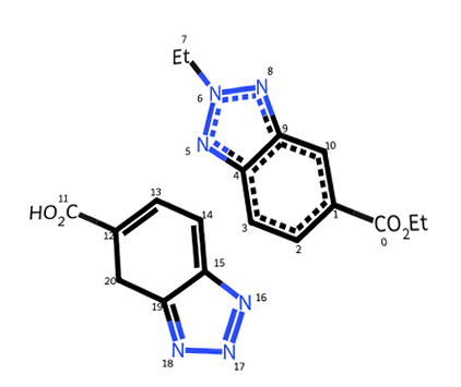 CCOC(=O)c1ccc2nn(CC)nc2c1.O=C(O)C1=CC=C2N=NN=C2C1